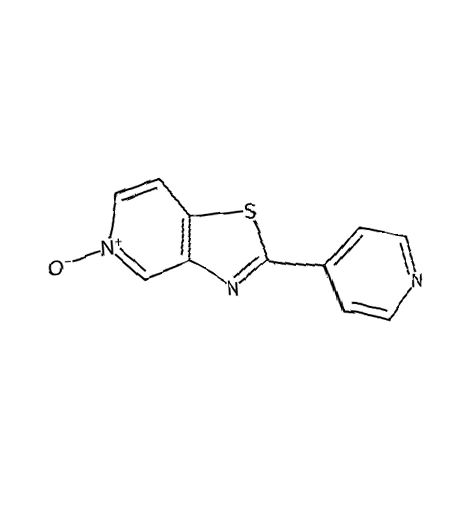 [O-][n+]1ccc2sc(-c3ccncc3)nc2c1